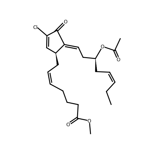 CC/C=C\C[C@@H](C/C=C1/C(=O)C(Cl)=C[C@@H]1C/C=C\CCCC(=O)OC)OC(C)=O